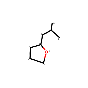 C[C](C)CC1CCCO1